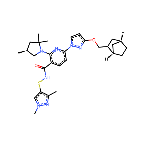 Cc1nn(C)cc1SNC(=O)c1ccc(-n2ccc(OCC3C[C@@H]4CC[C@H]3C4)n2)nc1N1C[C@@H](C)CC1(C)C